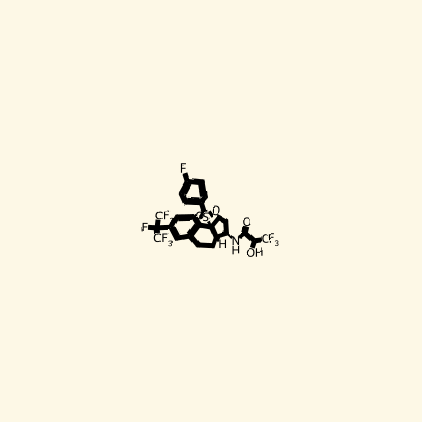 O=C(N[C@@H]1CC[C@@]2(S(=O)(=O)c3ccc(F)cc3)c3ccc(C(F)(C(F)(F)F)C(F)(F)F)cc3CC[C@@H]12)C(O)C(F)(F)F